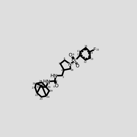 O=C(NCC1CCN(S(=O)(=O)c2ccc(F)cc2)C1)NC12CC3CC(CC(C3)C1)C2